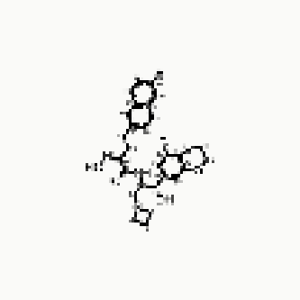 O=C(N[C@H](CN1CCC1)[C@@H](O)c1cc(F)c2c(c1)OCCO2)/C(CCc1ccc2cc(F)ccc2c1)=N\O